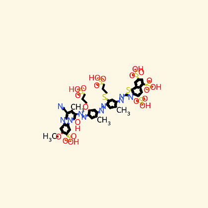 COc1cc2nc3c(C#N)c(C)c(N=Nc4cc(C)c(N=Nc5cc(C)c(N=Nc6nc7c(S(=O)(=O)O)cc8c(S(=O)(=O)O)cc(S(=O)(=O)O)cc8c7s6)cc5SCCCS(=O)(=O)O)cc4OCCCS(=O)(=O)O)c(O)n3c2cc1S(=O)(=O)O